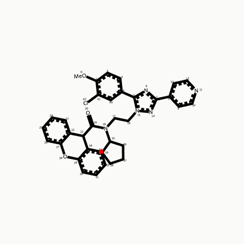 COc1ccc(-c2nc(-c3ccncc3)nn2CCN(C(=O)C2c3ccccc3Oc3ccccc32)C2CCCC2)cc1Cl